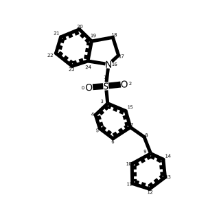 O=S(=O)(c1cccc(Cc2ccccc2)c1)N1CCc2ccccc21